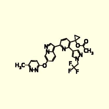 CC(=O)OC1(c2ccc(-c3cnn4cc(Oc5ccc(C)nn5)ccc34)nc2-c2cnn(CC(F)(F)F)c2)CC1